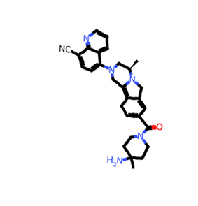 C[C@@H]1CN(c2ccc(C#N)c3ncccc23)CC2=C3CC=C(C(=O)N4CCC(C)(N)CC4)C=C3CN21